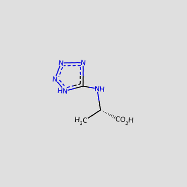 C[C@H](Nc1nnn[nH]1)C(=O)O